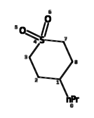 CCCC1CCS(=O)(=O)CC1